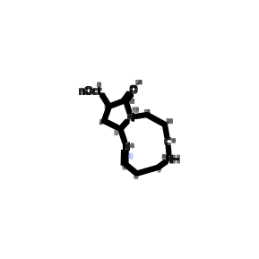 CCCCCCCCC1CC2/N=C/CCNCCCN2C1=O